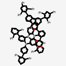 CC(C)c1cc(C(C)C)c(-c2ccc3c(c2)c2cc(-c4c(C(C)C)cc(C(C)C)cc4C(C)C)ccc2n3-c2ccc3c(c2)N(c2c(-c4ccccc4)cccc2-c2ccccc2)c2cc(-c4c(C(C)C)cccc4C(C)C)cc4c2B3c2cc(-c3c(C(C)C)cccc3C(C)C)ccc2N4c2ccc(-c3c(C(C)C)cccc3C(C)C)cc2)c(C(C)C)c1